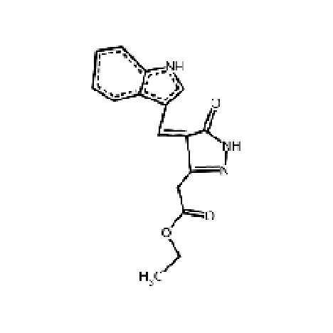 CCOC(=O)CC1=NNC(=O)C1=Cc1c[nH]c2ccccc12